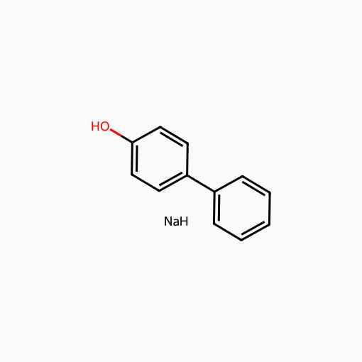 Oc1ccc(-c2ccccc2)cc1.[NaH]